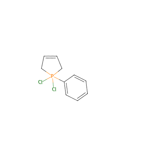 ClP1(Cl)(c2ccccc2)CC=CC1